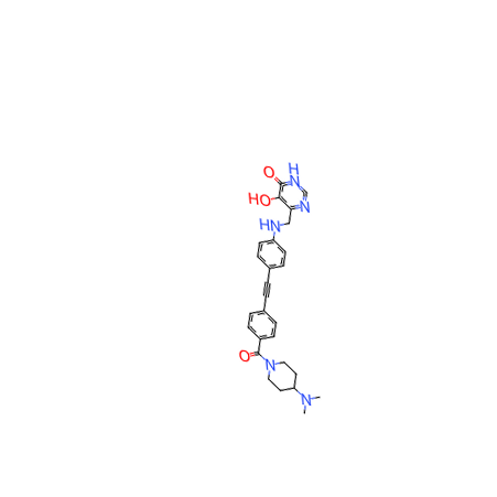 CN(C)C1CCN(C(=O)c2ccc(C#Cc3ccc(NCc4nc[nH]c(=O)c4O)cc3)cc2)CC1